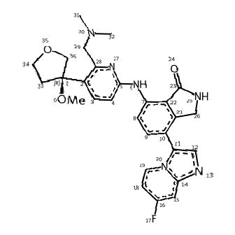 CO[C@@]1(c2ccc(Nc3ccc(-c4cnc5cc(F)ccn45)c4c3C(=O)NC4)nc2CN(C)C)CCOC1